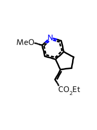 CCOC(=O)C=C1CCc2cnc(OC)cc21